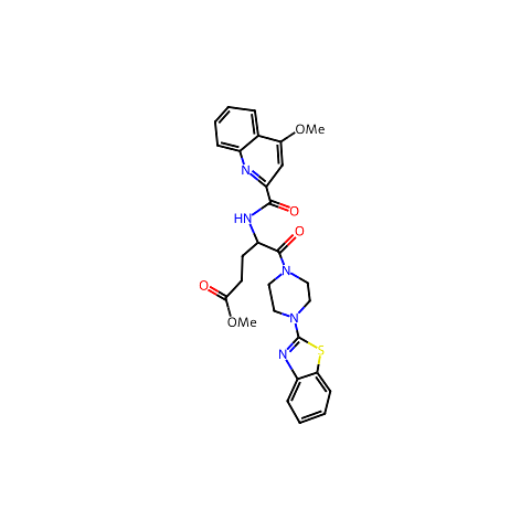 COC(=O)CCC(NC(=O)c1cc(OC)c2ccccc2n1)C(=O)N1CCN(c2nc3ccccc3s2)CC1